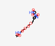 Cn1c(=O)n(C2CCC(=O)NC2=O)c2ccc(C#CCOCCOCCOCCOCCNC(=O)OC(C)(C)C)cc21